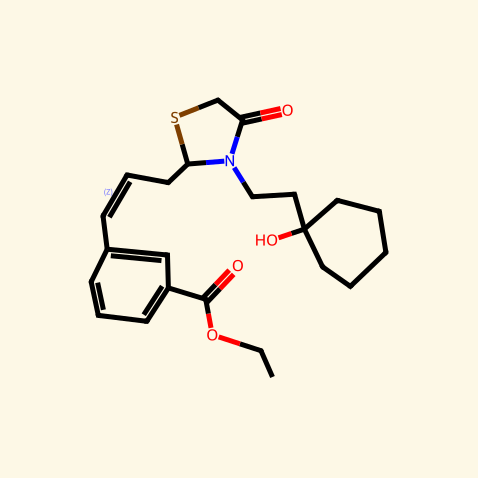 CCOC(=O)c1cccc(/C=C\CC2SCC(=O)N2CCC2(O)CCCCC2)c1